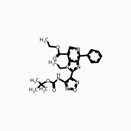 CCOC(=O)c1cnc(-c2ccccc2)c2nc(-c3nonc3NC(=O)OC(C)(C)C)n(CC)c12